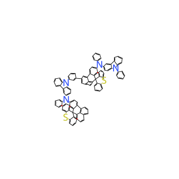 c1ccc(N(c2ccc3c(c2)C2(c4ccccc4Sc4ccccc42)c2cccc4cc(-c5cccc(-n6c7ccccc7c7cc(N(c8ccccc8)c8ccc9c(c8)C8(c%10ccccc%10Sc%10ccccc%108)c8cccc%10cccc-9c8%10)ccc76)c5)cc-3c24)c2ccc3c(c2)c2ccccc2n3-c2ccccc2)cc1